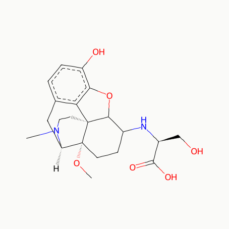 CO[C@@]12CCC(N[C@@H](CO)C(=O)O)C3Oc4c(O)ccc5c4[C@@]31CCN(C)[C@@H]2C5